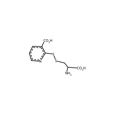 NC(CSSc1ncccc1C(=O)O)C(=O)O